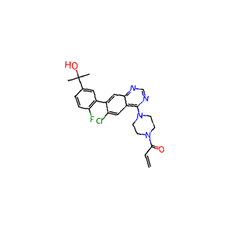 C=CC(=O)N1CCN(c2ncnc3cc(-c4cc(C(C)(C)O)ccc4F)c(Cl)cc23)CC1